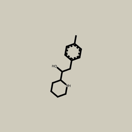 Cc1ccc(CC(O)C2CCCCN2)cc1